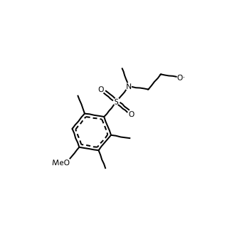 COc1cc(C)c(S(=O)(=O)N(C)CC[O])c(C)c1C